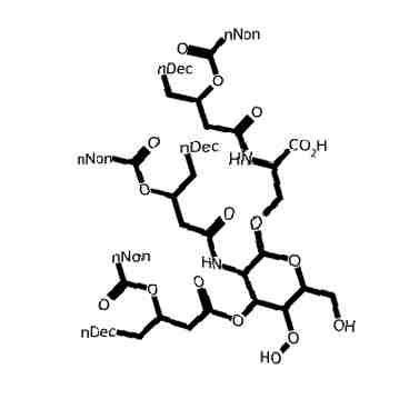 CCCCCCCCCCCC(CC(=O)NC(COC1OC(CO)C(OO)C(OC(=O)CC(CCCCCCCCCCC)OC(=O)CCCCCCCCC)C1NC(=O)CC(CCCCCCCCCCC)OC(=O)CCCCCCCCC)C(=O)O)OC(=O)CCCCCCCCC